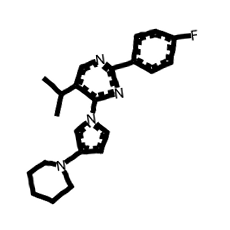 CC(C)c1cnc(-c2ccc(F)cc2)nc1-n1ccc(N2CCCCC2)c1